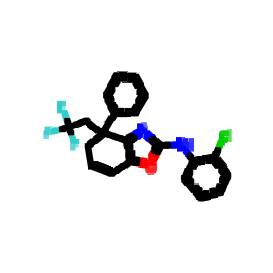 FC(F)(F)CC1(c2ccccc2)CC=Cc2oc(Nc3ccccc3Cl)nc21